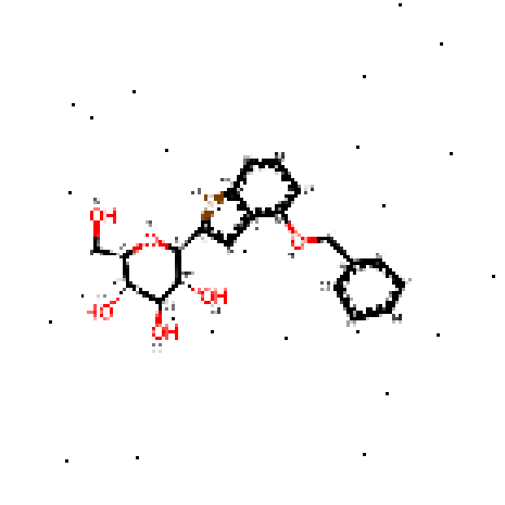 OC[C@H]1O[C@@H](c2cc3c(OCc4ccccc4)cccc3s2)[C@H](O)[C@@H](O)[C@@H]1O